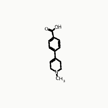 CN1CC=C(c2ccc(C(=O)O)cc2)CC1